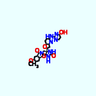 COc1ccc2c(c1)C(=O)N(C[C@@]1(c3cc4nc(Nc5nccc(O)n5)ccc4o3)NC(=O)NC1=O)C2